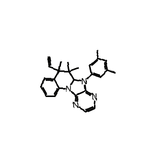 C=CC1(C)c2ccccc2N2c3nccnc3N(c3cc(C)cc(C)c3)C2C1(C)C